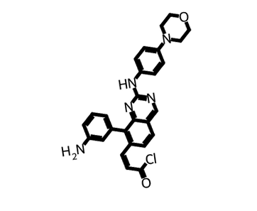 Nc1cccc(-c2c(/C=C\C(=O)Cl)ccc3cnc(Nc4ccc(N5CCOCC5)cc4)nc23)c1